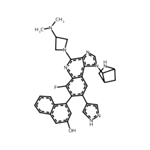 CN(C)C1CN(c2nc3c(F)c(-c4cc(O)cc5ccccc45)c(-c4cn[nH]c4)cc3c3c2ncn3C2C3CNC2C3)C1